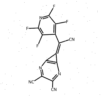 N#CC(=C1c2nc(C#N)c(C#N)nc21)c1c(F)c(F)nc(F)c1F